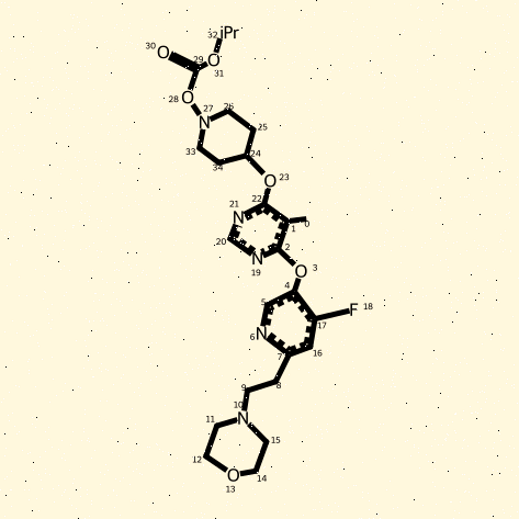 Cc1c(Oc2cnc(CCN3CCOCC3)cc2F)ncnc1OC1CCN(OC(=O)OC(C)C)CC1